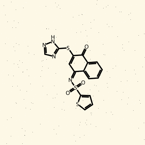 O=C1C(Sc2ncn[nH]2)=C/C(=N/S(=O)(=O)c2cccs2)c2ccccc21